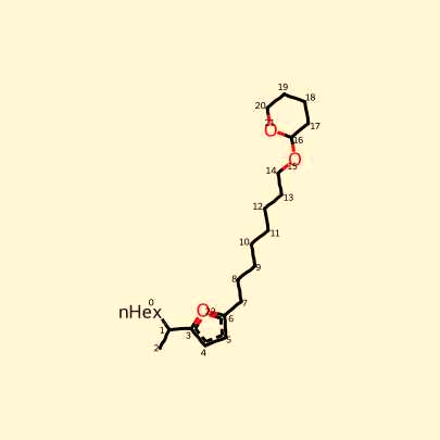 CCCCCCC(C)c1ccc(CCCCCCCCOC2CCCCO2)o1